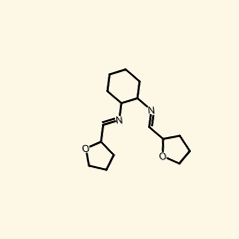 C(=NC1CCCCC1N=CC1CCCO1)C1CCCO1